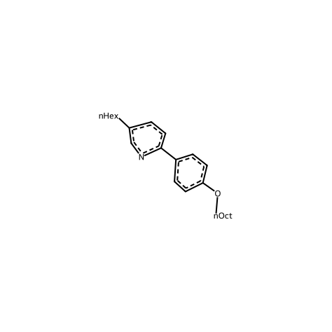 CCCCCCCCOc1ccc(-c2ccc(CCCCCC)cn2)cc1